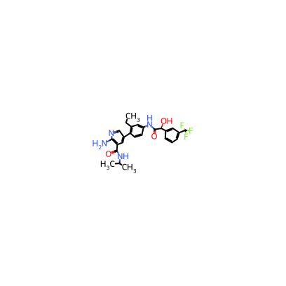 CCc1cc(NC(=O)[C@@H](O)c2cccc(C(F)(F)F)c2)ccc1-c1cnc(N)c(C(=O)NC(C)C)c1